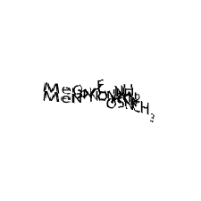 CNC1CN(c2cc(F)c3c(n2)CCC(NC(=O)c2sc4nc(C)ncc4c2N)C3)CC1OC